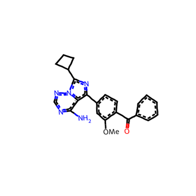 COc1cc(-c2nc(C3CCC3)n3ncnc(N)c23)ccc1C(=O)c1ccccc1